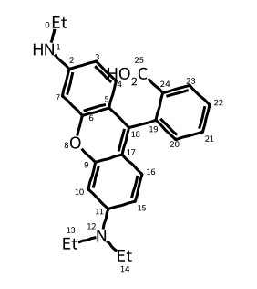 CCNc1ccc2c(c1)OC1=CC(N(CC)CC)C=CC1=C2c1ccccc1C(=O)O